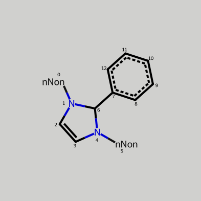 CCCCCCCCCN1C=CN(CCCCCCCCC)C1c1ccccc1